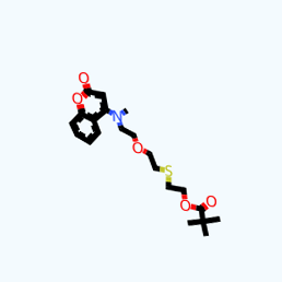 CN(CCOCCSCCOC(=O)C(C)(C)C)c1cc(=O)oc2ccccc12